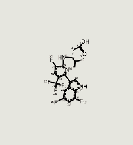 CC(C)[C@@H](CC(=O)O)Nc1nc(-c2c[nH]c3c(F)cc(F)cc23)c(C(F)(F)F)cc1F